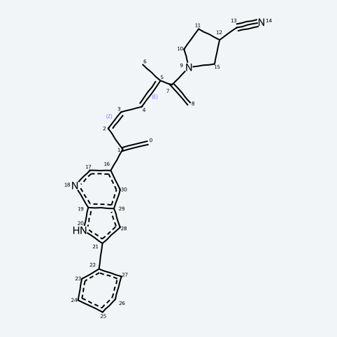 C=C(/C=C\C=C(/C)C(=C)N1CCC(C#N)C1)c1cnc2[nH]c(-c3ccccc3)cc2c1